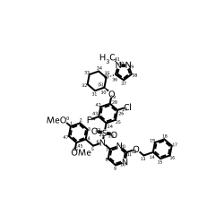 COc1ccc(CN(c2ccnc(OCc3ccccc3)n2)S(=O)(=O)c2cc(Cl)c(O[C@H]3CCCC[C@@H]3c3ccnn3C)cc2F)c(OC)c1